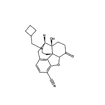 N#Cc1ccc2c3c1OC1C(=O)CC[C@@]4(O)[C@@H](C2)N(CC2CCC2)CC[C@]314